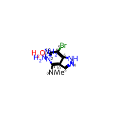 CNc1ncc(Br)c2[nH]ncc12.NN.O